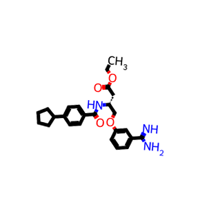 CCOC(=O)C[C@H](COc1cccc(C(=N)N)c1)NC(=O)c1ccc(C2CCCC2)cc1